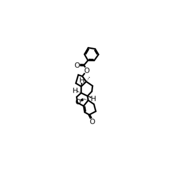 C[C@]12CC[C@H]3[C@@H](CCC4=CC(=O)CC[C@@]43C=O)[C@@H]1CCC2OC(=O)c1ccccc1